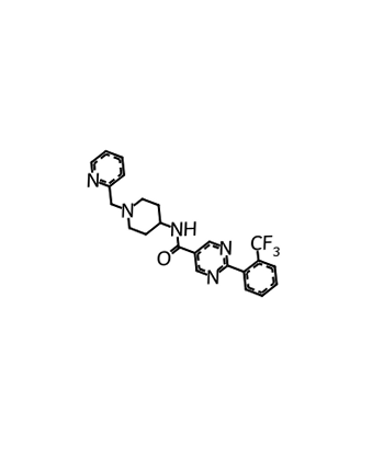 O=C(NC1CCN(Cc2ccccn2)CC1)c1cnc(-c2ccccc2C(F)(F)F)nc1